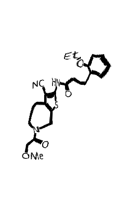 CCOc1ccccc1C=CC(=O)Nc1sc2c(c1C#N)CCN(C(=O)COC)C2